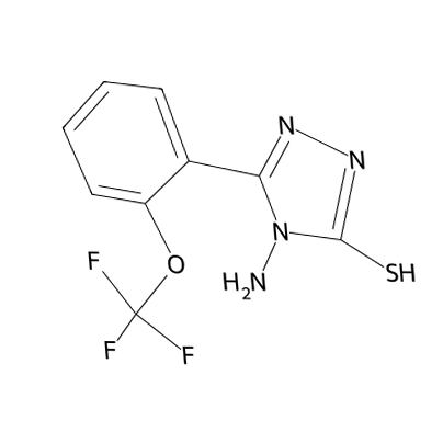 Nn1c(S)nnc1-c1ccccc1OC(F)(F)F